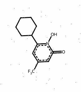 O=c1cc(C(F)(F)F)cc(C2CCCCC2)n1O